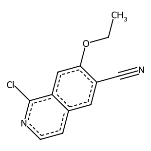 CCOc1cc2c(Cl)nccc2cc1C#N